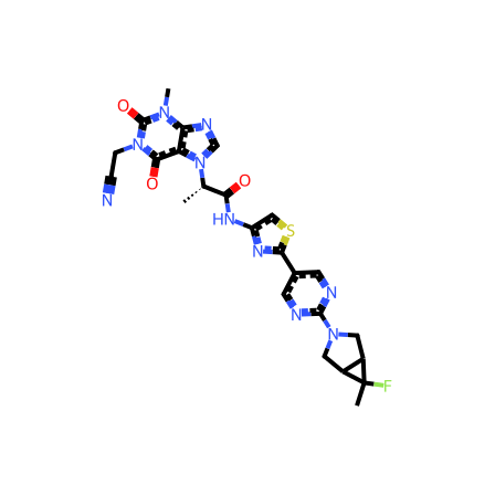 C[C@@H](C(=O)Nc1csc(-c2cnc(N3CC4C(C3)C4(C)F)nc2)n1)n1cnc2c1c(=O)n(CC#N)c(=O)n2C